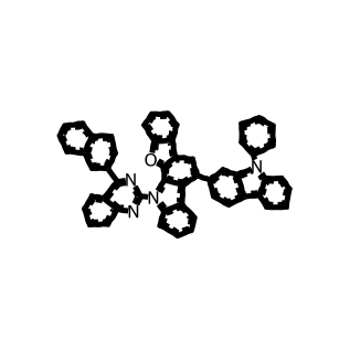 c1ccc(-n2c3ccccc3c3ccc(-c4cc5c6ccccc6oc5c5c4c4ccccc4n5-c4nc(-c5ccc6ccccc6c5)c5ccccc5n4)cc32)cc1